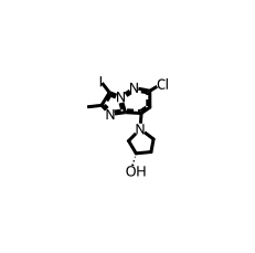 Cc1nc2c(N3CC[C@H](O)C3)cc(Cl)nn2c1I